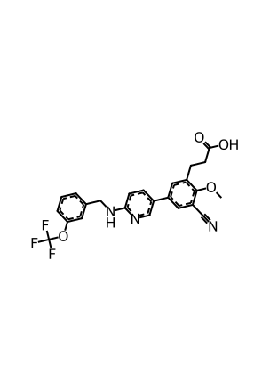 COc1c(C#N)cc(-c2ccc(NCc3cccc(OC(F)(F)F)c3)nc2)cc1CCC(=O)O